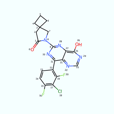 O=C1CC2(CCC2)CN1c1nc(-c2ccc(F)c(Cl)c2F)c2ncnc(O)c2n1